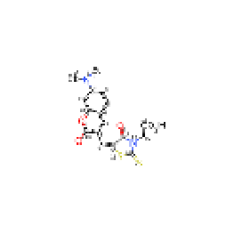 CCN(CC)c1ccc2cc(/C=C3/SC(=S)N(CC(=O)O)C3=O)c(=O)oc2c1